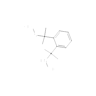 CC(C)(NC=O)c1ccccc1C(C)(C)NC=O